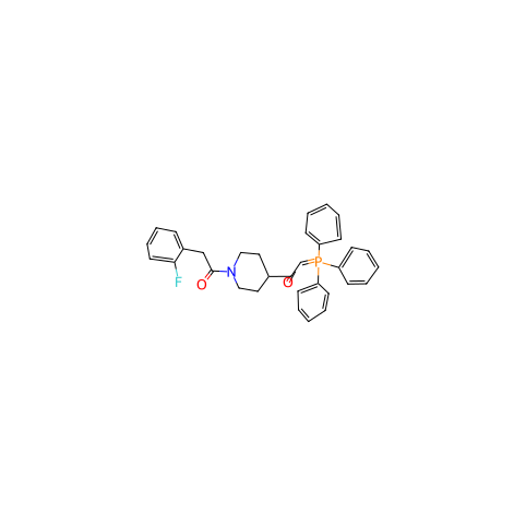 O=C(C=P(c1ccccc1)(c1ccccc1)c1ccccc1)C1CCN(C(=O)Cc2ccccc2F)CC1